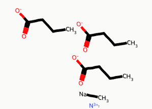 CCCC(=O)[O-].CCCC(=O)[O-].CCCC(=O)[O-].[CH3][Na].[N+3]